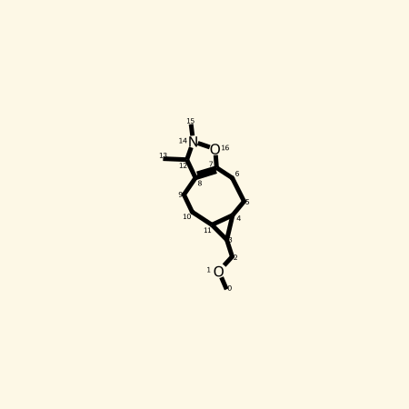 COCC1C2CCC3=C(CCC21)C(C)N(C)O3